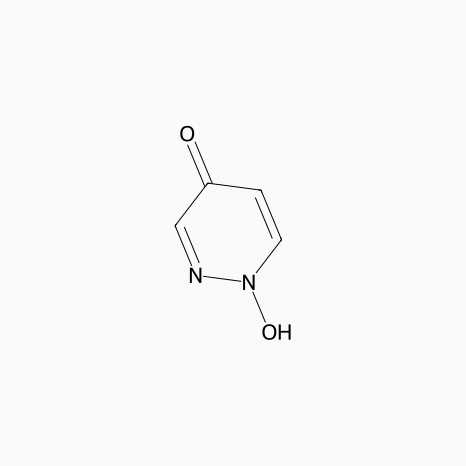 O=c1ccn(O)nc1